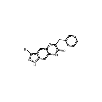 O=c1[nH]c2cc3[nH]nc(Br)c3cc2nc1Cc1ccccc1